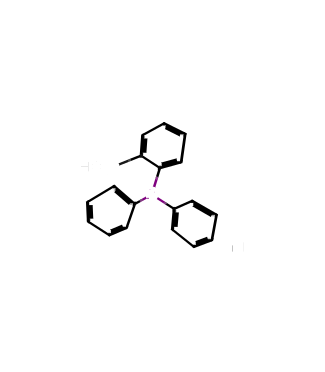 O=S(=O)(O)c1c[c]ccc1P(c1ccccc1)c1ccccc1.[LiH]